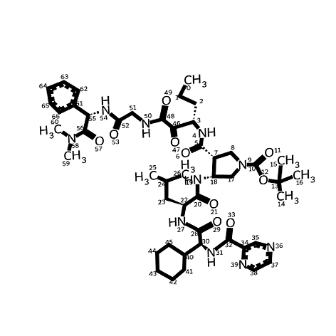 CCC[C@H](NC(=O)[C@@H]1CN(C(=O)OC(C)(C)C)C[C@@H]1NC(=O)[C@H](CC(C)C)NC(=O)[C@@H](NC(=O)c1cnccn1)C1CCCCC1)C(=O)C(=O)NCC(=O)N[C@H](C(=O)N(C)C)c1ccccc1